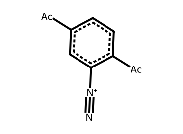 CC(=O)c1ccc(C(C)=O)c([N+]#N)c1